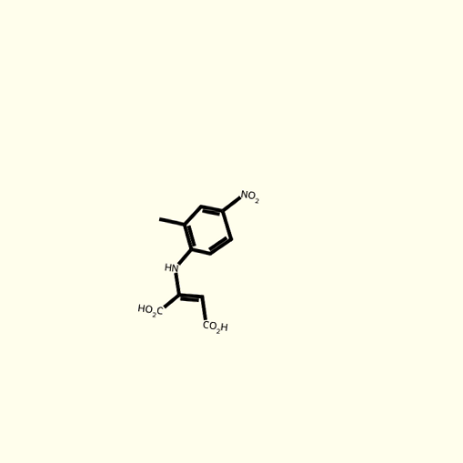 Cc1cc([N+](=O)[O-])ccc1NC(=CC(=O)O)C(=O)O